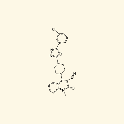 Cn1c(=O)c(C#N)c(N2CCC(c3nnc(-c4cccc(Cl)c4)o3)CC2)c2ccccc21